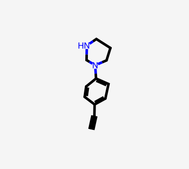 C#Cc1ccc(N2CCCNC2)cc1